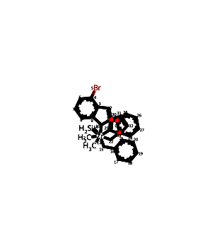 CC1=Cc2c(Br)cccc2[CH]1[Zr]([CH3])([CH3])(=[SiH2])([CH2]c1ccccc1)([CH2]c1ccccc1)[C]1=CC=CC1